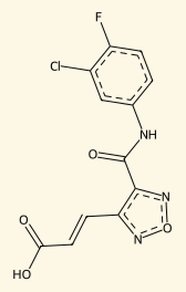 O=C(O)C=Cc1nonc1C(=O)Nc1ccc(F)c(Cl)c1